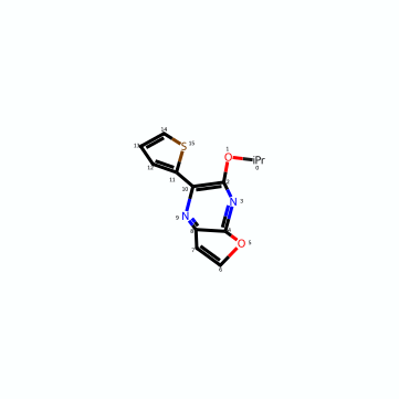 CC(C)Oc1nc2occc2nc1-c1cccs1